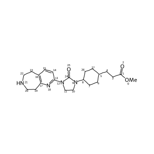 COC(=O)CCC1CCC(N2CCN(c3ccc4c(n3)CCNCC4)C2=O)CC1